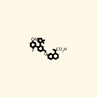 COc1ccc(F)c(-c2ccc(COc3ccc4c(c3)C(C(C)C(=O)O)CCC4)cc2C2=CCCC2(C)C)c1